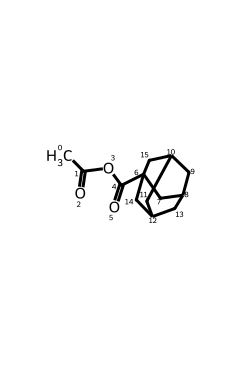 CC(=O)OC(=O)C12CC3CC(CC(C3)C1)C2